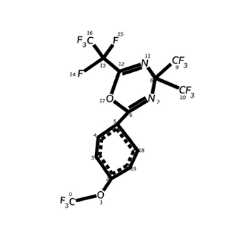 FC(F)(F)Oc1ccc(C2=NC(C(F)(F)F)(C(F)(F)F)N=C(C(F)(F)C(F)(F)F)O2)cc1